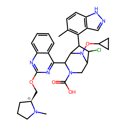 Cc1ccc2[nH]ncc2c1C1C(Cl)C2CN(C(=O)O)C(c3nc(OC[C@@H]4CCCN4C)nc4ccccc34)C1N2OC1CC1